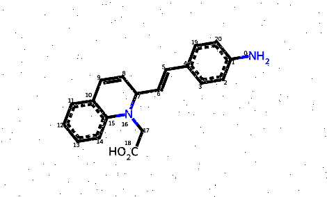 Nc1ccc(/C=C/C2C=Cc3ccccc3N2CC(=O)O)cc1